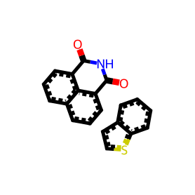 O=C1NC(=O)c2cccc3cccc1c23.c1ccc2sccc2c1